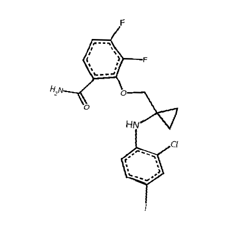 NC(=O)c1ccc(F)c(F)c1OCC1(Nc2ccc(I)cc2Cl)CC1